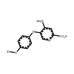 CCOc1ccc(Oc2cnc(C(=O)O)cc2OC)cc1